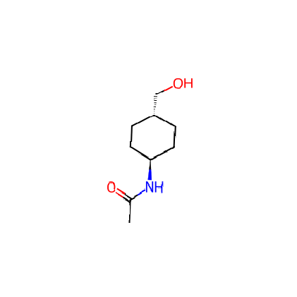 CC(=O)N[C@H]1CC[C@H](CO)CC1